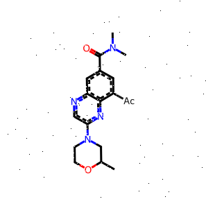 CC(=O)c1cc(C(=O)N(C)C)cc2ncc(N3CCOC(C)C3)nc12